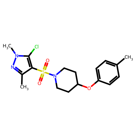 Cc1ccc(OC2CCN(S(=O)(=O)c3c(C)nn(C)c3Cl)CC2)cc1